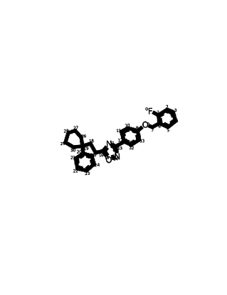 Fc1ccccc1COc1ccc(-c2noc(CCC3(c4ccccc4)CCCCC3)n2)cc1